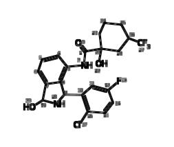 O=C(Nc1cccc2c1C(c1cc(F)ccc1Cl)NC2O)C1(O)CCCC(C(F)(F)F)C1